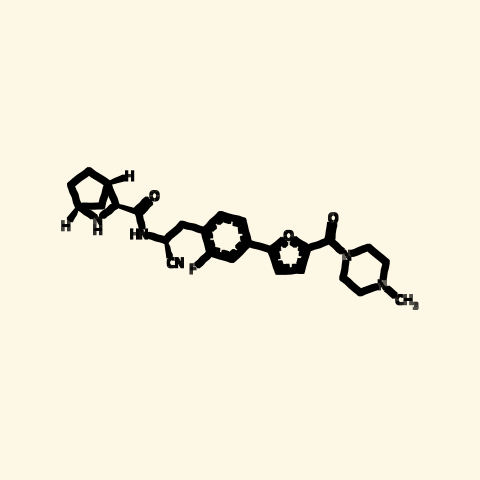 CN1CCN(C(=O)c2ccc(-c3ccc(C[C@@H](C#N)NC(=O)[C@H]4N[C@@H]5CC[C@H]4C5)c(F)c3)o2)CC1